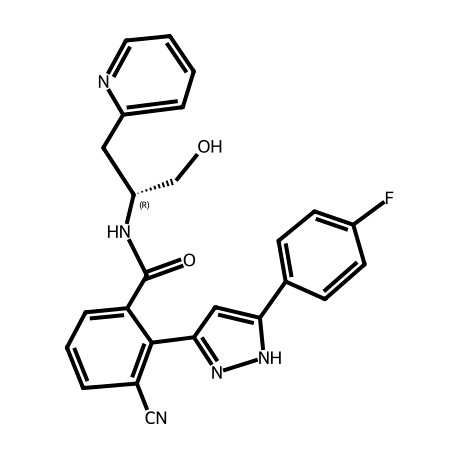 N#Cc1cccc(C(=O)N[C@@H](CO)Cc2ccccn2)c1-c1cc(-c2ccc(F)cc2)[nH]n1